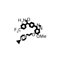 COc1cc2ncnc(-c3ccc(C(C(N)=O)c4ccc(C(F)(F)F)cc4)cc3)c2cc1OCCCN1CCN(C2CC2)CC1